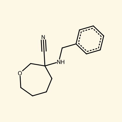 N#CC1(NCc2ccccc2)CCCCOC1